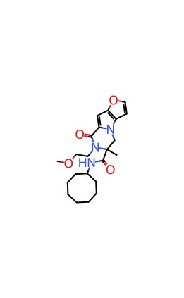 COCCN1C(=O)c2cc3occc3n2CC1(C)C(=O)NC1CCCCCCC1